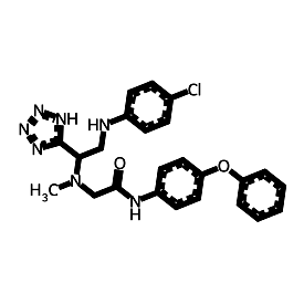 CN(CC(=O)Nc1ccc(Oc2ccccc2)cc1)C(CNc1ccc(Cl)cc1)c1nnn[nH]1